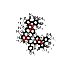 Bc1c(B)c(B)c2c(c1B)c1c(B)c(C)c(B)c(B)c1n2-c1ccc2c(c1)N(/C(C(=C)C1=CCC(C)C=C1)=C(/C)c1ccccc1)c1cc(C(C)(C)C)cc3c1B2c1ccc(-n2c4c(B)c(B)c(C)c(B)c4c4c(B)c(C)c(B)c(B)c42)cc1N3/C(C(=C)c1ccccc1)=C(/C)c1ccccc1